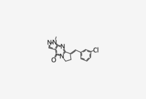 Cn1ncc2c(=O)n3c(nc21)/C(=C/c1cccc(Cl)c1)CC3